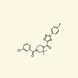 CC1(C)CN(C(=O)c2cccc(Cl)c2)CCN1C(=O)c1nnn(-c2ccc(F)cc2)n1